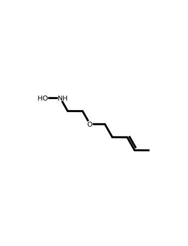 C/C=C/CCOCCNO